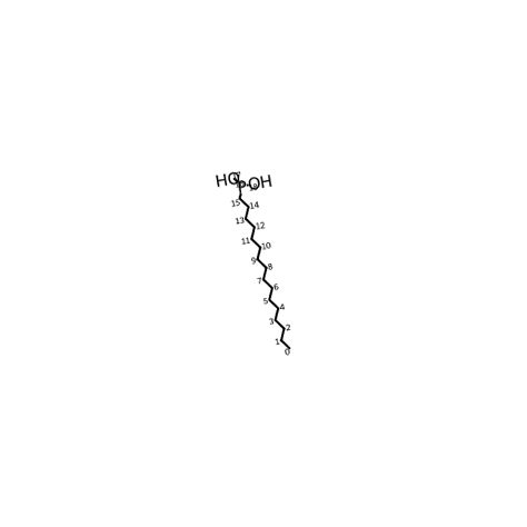 CCCCCCCCCCCCCCCCP(O)O